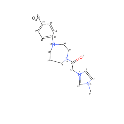 Cn1cc[n+](CC(=O)N2CCCN(c3ccc([N+](=O)[O-])cc3)CC2)c1